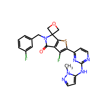 Cn1nccc1Nc1nccc(-c2sc3c(c2F)C(=O)N(Cc2cccc(F)c2)C32COC2)n1